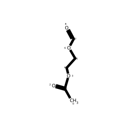 CC(=O)OCCO[C]=O